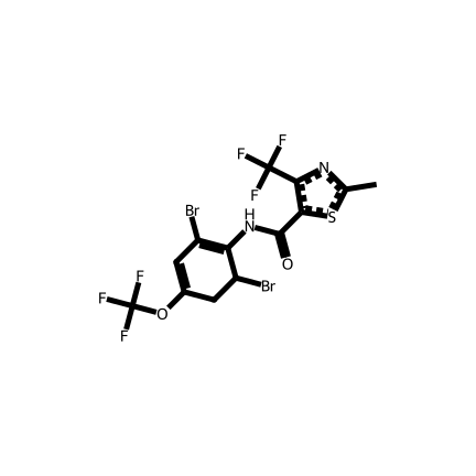 Cc1nc(C(F)(F)F)c(C(=O)NC2=C(Br)C=C(OC(F)(F)F)CC2Br)s1